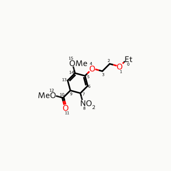 CCOCCOC1=CC([N+](=O)[O-])C(C(=O)OC)C=C1OC